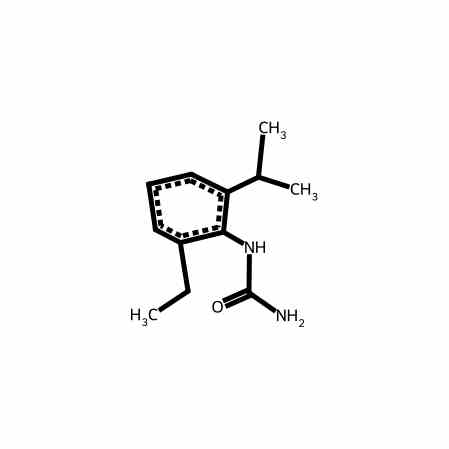 CCc1cccc(C(C)C)c1NC(N)=O